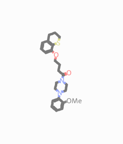 COc1ccccc1N1CCN(C(=O)CCCOc2cccc3c2SCCC3)CC1